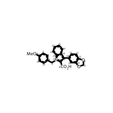 COc1ccc(Cn2c(C(=O)O)c(-c3ccc4c(c3)OCO4)c3ccccc32)cc1